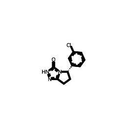 O=c1[nH]nc2n1[C@H](c1cccc(Cl)c1)CC2